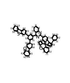 C1=Cc2nc(-c3ccc4c(c3)C3(c5ccccc5Oc5ccccc53)c3cccc(-c5ccccc5)c3-4)nc(C3=CC(c4ccc5c(c4)sc4ccccc45)CC(C4=Cc5oc6ccccc6c5CC4)=C3)c2CC1